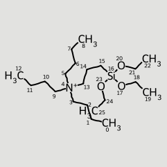 CCCC[N+](CCCC)(CCCC)CCC[Si](OCC)(OCC)OCC